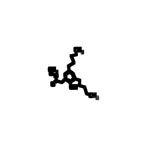 CCCCCc1cc(CCCCC)c(O)c(CC(=O)OOC)c1